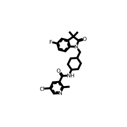 Cc1ncc(Cl)cc1C(=O)NC1CCC(CN2C(=O)C(C)(C)c3cc(F)ccc32)CC1